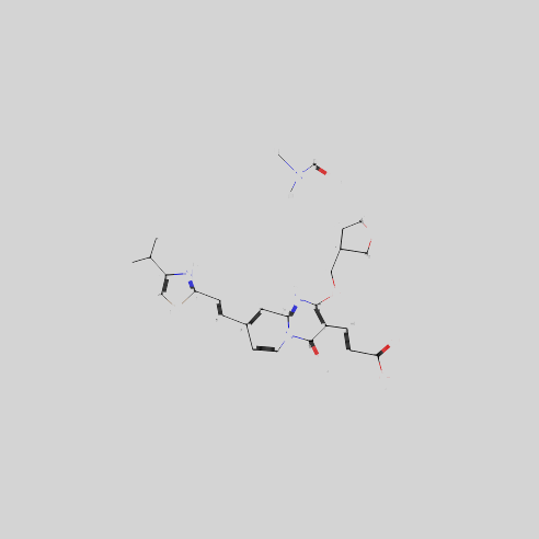 CC(C)c1csc(C=Cc2ccn3c(=O)c(C=CC(=O)O)c(OCC4CCOC4)nc3c2)n1.CN(C)C=O